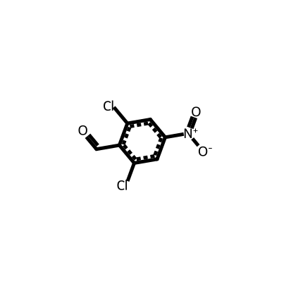 O=Cc1c(Cl)cc([N+](=O)[O-])cc1Cl